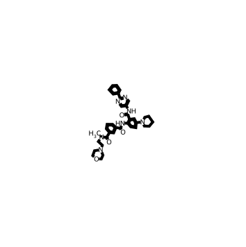 CN(CCN1CCOCC1)C(=O)c1cccc(C(=O)Nc2ccc(N3CCCCC3)cc2C(=O)Nc2cnc(-c3ccccc3)nc2)c1